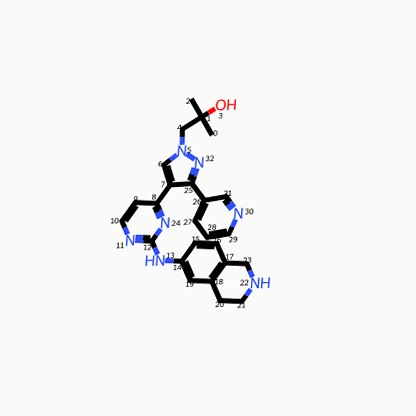 CC(C)(O)Cn1cc(-c2ccnc(Nc3ccc4c(c3)CCNC4)n2)c(-c2cccnc2)n1